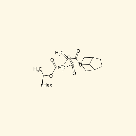 C=C(CC(=O)O[C@H](C)CCCCCC)C(=O)OC1C2CCC1CN(S(C)(=O)=O)C2